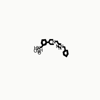 O=[SH](=O)NCc1cccc(C2CCN(Cc3cn(Cc4ccccc4)nn3)CC2)c1